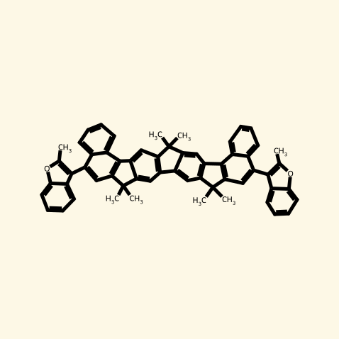 Cc1oc2ccccc2c1-c1cc2c(c3ccccc13)-c1cc3c(cc1C2(C)C)-c1cc2c(cc1C3(C)C)-c1c(cc(-c3c(C)oc4ccccc34)c3ccccc13)C2(C)C